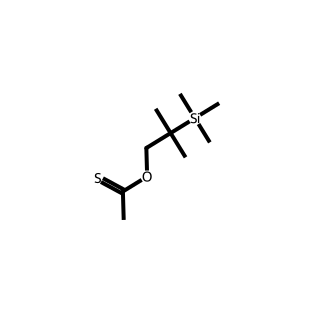 CC(=S)OCC(C)(C)[Si](C)(C)C